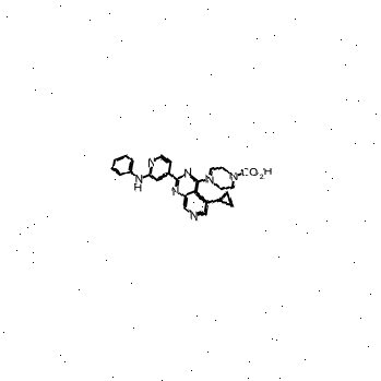 O=C(O)N1CCN(c2nc(-c3ccnc(Nc4ccccc4)c3)nc3cncc(C4CC4)c23)CC1